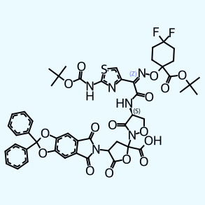 CC(C)(C)OC(=O)Nc1nc(/C(=N/OC2(C(=O)OC(C)(C)C)CCC(F)(F)CC2)C(=O)N[C@H]2CON(C3(C(=O)O)CC(N4C(=O)c5cc6c(cc5C4=O)OC(c4ccccc4)(c4ccccc4)O6)C(=O)O3)C2=O)cs1